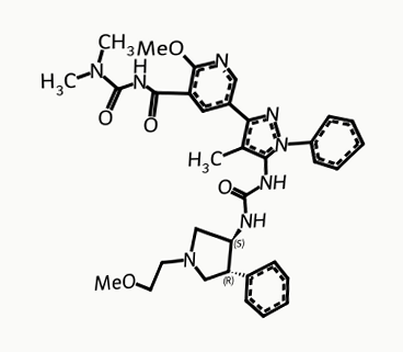 COCCN1C[C@@H](NC(=O)Nc2c(C)c(-c3cnc(OC)c(C(=O)NC(=O)N(C)C)c3)nn2-c2ccccc2)[C@H](c2ccccc2)C1